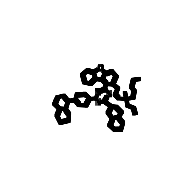 C=CCC(C)(/C=C\C=C/C)/C=C\Cc1ccc2oc3ccccc3c2c1-c1nc(-c2ccc(-c3cccc4ccccc34)cc2)nc(-c2ccc3ccccc3c2)n1